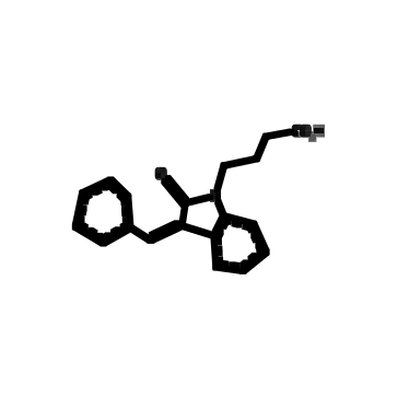 O=C(O)CCCN1C(=O)C(=Cc2ccccc2)c2ccccc21